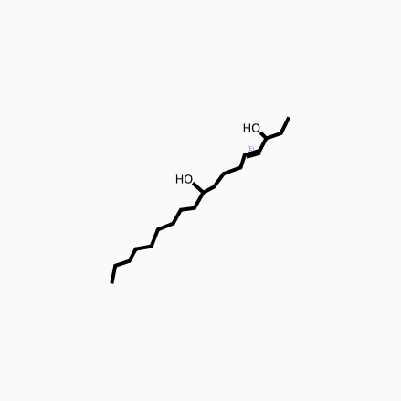 CCCCCCCCCC(O)CCC/C=C/C(O)CC